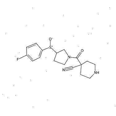 N#CC1(C(=O)N2CCC([S+]([O-])c3ccc(F)cc3)C2)CCNCC1